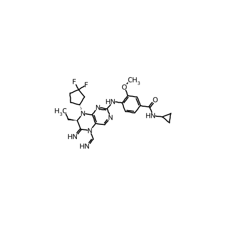 CC[C@@H]1C(=N)N(C=N)c2cnc(Nc3ccc(C(=O)NC4CC4)cc3OC)nc2N1[C@@H]1CCC(F)(F)C1